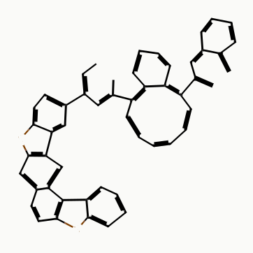 C=C(/C=c1/ccccc1=C)c1ccccccc(/C(C)=C/C(=C\C)c2ccc3sc4cc5ccc6sc7ccccc7c6c5cc4c3c2)c2ccccc12